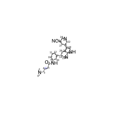 CN(C)C/C=C/C(=O)Nc1cccc(-c2cnc3[nH]cc(-c4cncc(C#N)c4)c3c2)c1